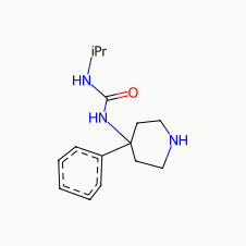 CC(C)NC(=O)NC1(c2ccccc2)CCNCC1